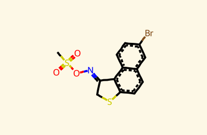 CS(=O)(=O)ON=C1CSc2ccc3cc(Br)ccc3c21